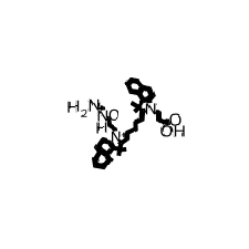 CC1(C)C(/C=C/C=C/C=C2/N(CCC(=O)O)c3ccc4ccccc4c3C2(C)C)=[N+](CCC(=O)NCN)c2ccc3ccccc3c21